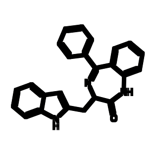 O=C1Nc2ccccc2C(c2ccccc2)=NC1Cc1cc2ccccc2[nH]1